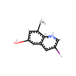 Cc1cc(O)cc2cc(I)cnc12